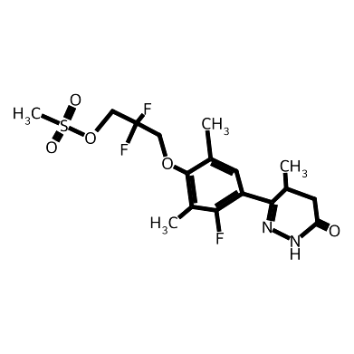 Cc1cc(C2=NNC(=O)CC2C)c(F)c(C)c1OCC(F)(F)COS(C)(=O)=O